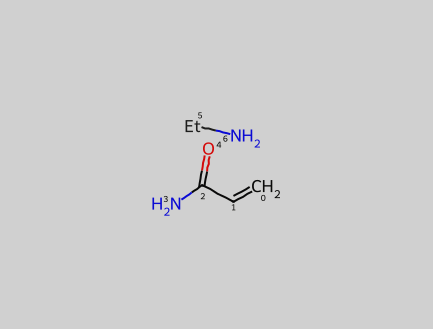 C=CC(N)=O.CCN